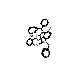 CCOC(=O)C(NC(c1ccccc1)c1ccccc1)C1(OCc2ccccc2C)C(=O)N(Cc2ccccc2)c2ccc(Br)cc21